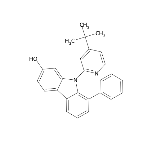 CC(C)(C)c1ccnc(-n2c3cc(O)ccc3c3cccc(-c4ccccc4)c32)c1